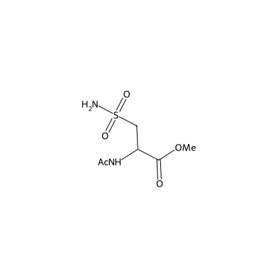 COC(=O)C(CS(N)(=O)=O)NC(C)=O